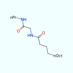 CCCCCCCCCCCC(=O)NCC(=O)NCCC